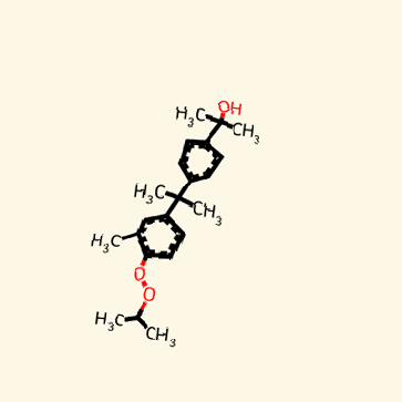 Cc1cc(C(C)(C)c2ccc(C(C)(C)O)cc2)ccc1OOC(C)C